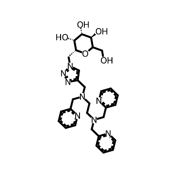 OCC1O[C@H](Cn2cc(CN(CCN(Cc3ccccn3)Cc3ccccn3)Cc3ccccn3)nn2)[C@H](O)[C@H](O)[C@H]1O